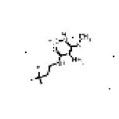 CNC(NC)=C(N)C(=O)NCCC(F)(F)F